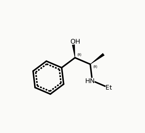 CCN[C@H](C)[C@H](O)c1ccccc1